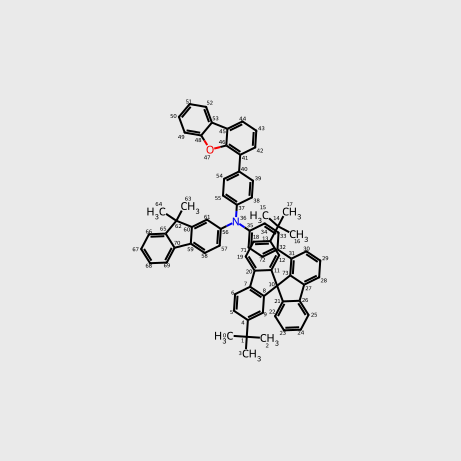 CC(C)(C)c1ccc2c(c1)C1(c3cc(C(C)(C)C)ccc3-2)c2ccccc2-c2cccc(-c3ccc(N(c4ccc(-c5cccc6c5oc5ccccc56)cc4)c4ccc5c(c4)C(C)(C)c4ccccc4-5)cc3)c21